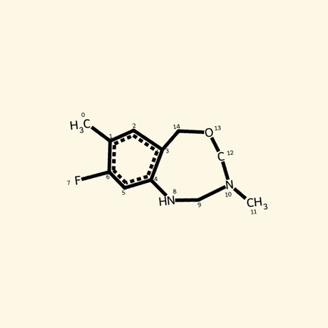 Cc1cc2c(cc1F)NCN(C)COC2